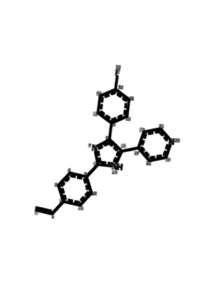 C=Cc1ccc(-c2nc(-c3ccc(F)cc3)c(-c3ccncc3)[nH]2)cc1